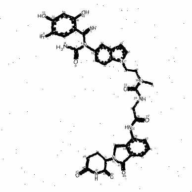 CC(C)c1cc(C(=N)N(C(N)=O)c2ccc3c(ccn3CCN(C)C(=O)NCC(=O)Nc3cccc4c3CN(C3CCC(=O)NC3=O)C4=O)c2)c(O)cc1O